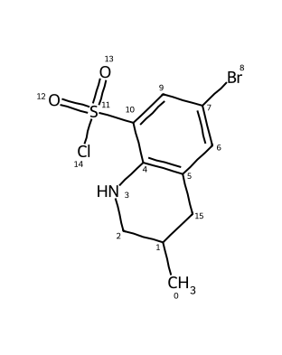 CC1CNc2c(cc(Br)cc2S(=O)(=O)Cl)C1